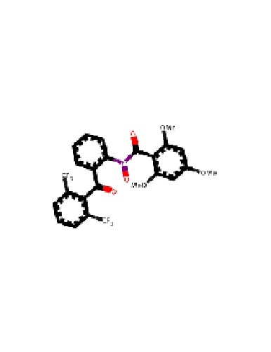 COc1cc(OC)c(C(=O)[P](=O)c2ccccc2C(=O)c2c(C(F)(F)F)cccc2C(F)(F)F)c(OC)c1